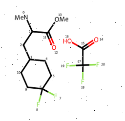 CNC(CC1CCC(F)(F)CC1)C(=O)OC.O=C(O)C(F)(F)F